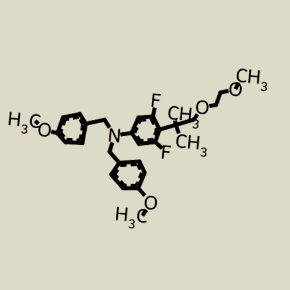 COCCOCC(C)(C)c1c(F)cc(N(Cc2ccc(OC)cc2)Cc2ccc(OC)cc2)cc1F